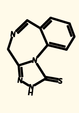 S=c1[nH]nc2n1-c1ccccc1C=NC2